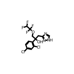 OC(COC(F)(F)C(F)F)(Cc1nc[nH]n1)c1ccc(Cl)cc1Cl